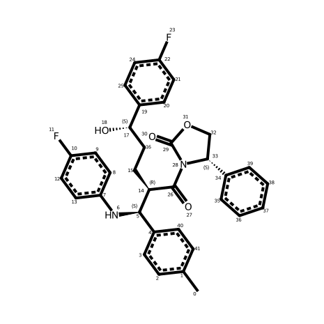 Cc1ccc([C@@H](Nc2ccc(F)cc2)[C@@H](CC[C@H](O)c2ccc(F)cc2)C(=O)N2C(=O)OC[C@@H]2c2ccccc2)cc1